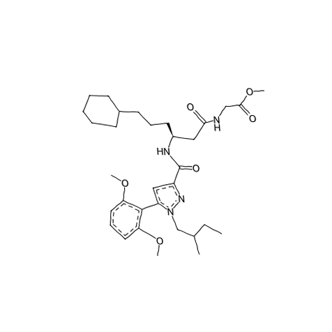 CCC(C)Cn1nc(C(=O)N[C@@H](CCCC2CCCCC2)CC(=O)NCC(=O)OC)cc1-c1c(OC)cccc1OC